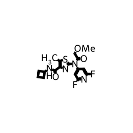 COCC(=O)N(c1cc(F)nc(F)c1)c1nc(C(=O)NC2CCC2)c(C)s1